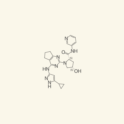 O=C(Nc1cccnc1)[C@@H]1C[C@H](O)CN1c1nc2c(c(Nc3cc(C4CC4)[nH]n3)n1)CCC2